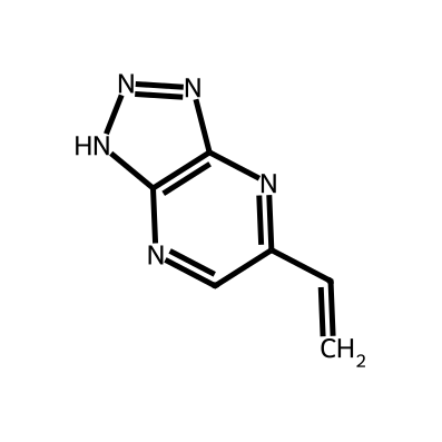 C=Cc1cnc2[nH]nnc2n1